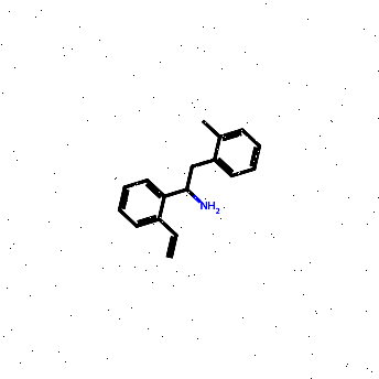 C=Cc1ccccc1C(N)Cc1ccccc1C